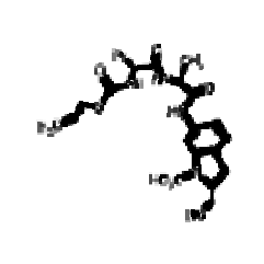 C=CCOC(=O)N[C@H](C(=O)N[C@@H](C)C(=O)Nc1ccc2c(c1)N(C(=O)O)[C@H](CO)C2)C(C)C